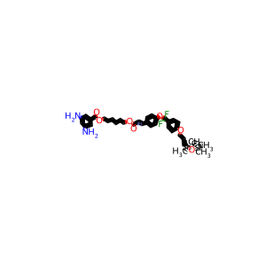 C[Si](C)(C)O[Si](C)(C)CCCOc1ccc(C(F)(F)Oc2ccc(/C=C/C(=O)OCCCCCCOC(=O)c3cc(N)cc(N)c3)cc2)cc1